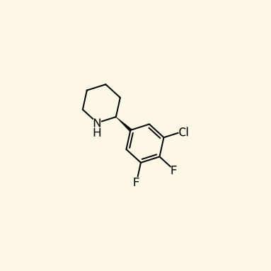 Fc1cc([C@@H]2CCCCN2)cc(Cl)c1F